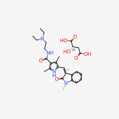 CCN(CC)CCNC(=O)c1c(C)[nH]c(/C=C2\C(=O)N(F)c3ccccc32)c1C.O=C(O)C[C@H](O)C(=O)O